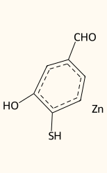 O=Cc1ccc(S)c(O)c1.[Zn]